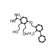 Cc1c(COc2ccc(C(=N)N)c(CCO)c2CCO)cccc1-c1ccccc1